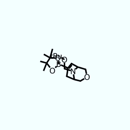 CC(C)(C)OCN1C2C=C(B3OC(C)(C)C(C)(C)O3)CC1COC2